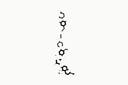 CCc1cc(Nc2ncc(Br)c(Nc3ccc4nc(C#N)ccc4c3P(C)(C)=O)n2)c(OC)cc1N1CCC(NCCNCCc2cc(F)c([C@H]3CCC(=O)NC3=O)c(F)c2)CC1